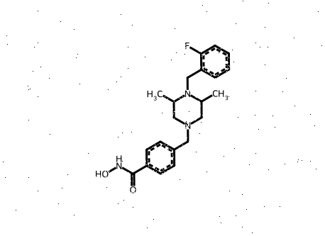 CC1CN(Cc2ccc(C(=O)NO)cc2)CC(C)N1Cc1ccccc1F